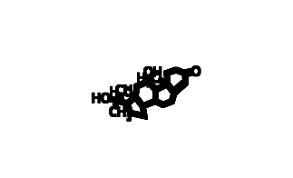 CC(C)(O)C1CCC2C3CCC4=CC(=O)CCC4(C)C3C(O)CC21C